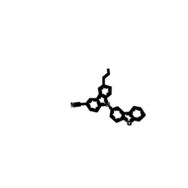 CCCc1ccc2c(c1)c1cc(C#N)ccc1n2-c1ccc2oc3ccccc3c2c1